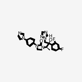 C[C@@H](N1CCN(c2ccc(-n3ccnc3)cc2)C1=O)[C@](O)(Cn1cncn1)c1ccc(F)cc1F